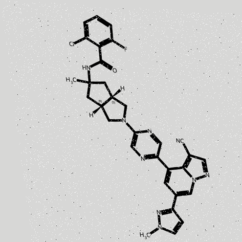 Cn1ccc(-c2cc(-c3cnc(N4C[C@@H]5CC(C)(NC(=O)c6c(F)cccc6Cl)C[C@@H]5C4)cn3)c3c(C#N)cnn3c2)n1